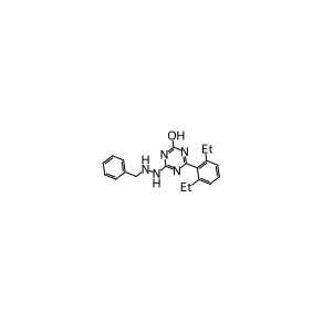 CCc1cccc(CC)c1-c1nc(O)nc(NNCc2ccccc2)n1